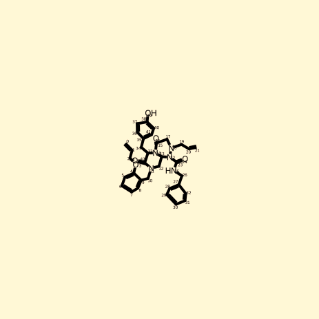 C=CCOc1ccccc1CN1CC2N(C(=O)CN(CC=C)N2C(=O)NCc2ccccc2)C(Cc2ccc(O)cc2)C1=O